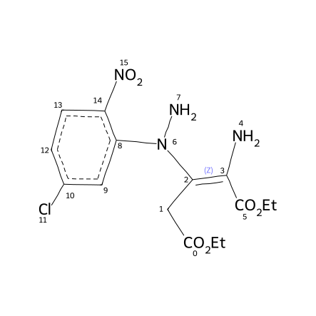 CCOC(=O)C/C(=C(/N)C(=O)OCC)N(N)c1cc(Cl)ccc1[N+](=O)[O-]